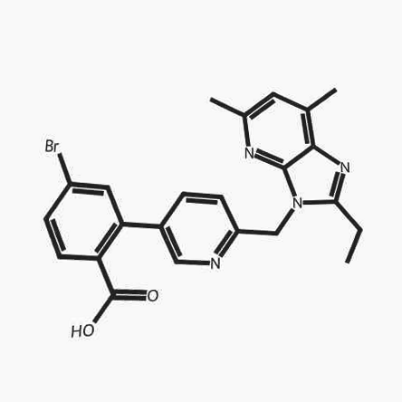 CCc1nc2c(C)cc(C)nc2n1Cc1ccc(-c2cc(Br)ccc2C(=O)O)cn1